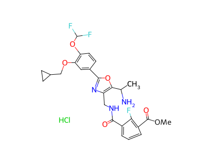 COC(=O)c1cccc(C(=O)NCc2nc(-c3ccc(OC(F)F)c(OCC4CC4)c3)oc2C(C)N)c1F.Cl